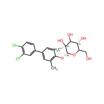 Cc1cc(-c2ccc(Cl)c(Cl)c2)ccc1O[C@H]1OC(CO)[C@@H](O)C(O)[C@]1(C)O